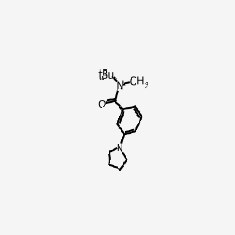 CN(C(=O)c1cccc(N2CCCC2)c1)C(C)(C)C